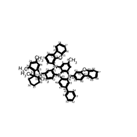 Cc1cc2c3c(c1)N(c1cccc4c1oc1ccccc14)c1cc(N4c5cc(C)cc(C)c5C5(C)CCCCC45C)ccc1B3c1ccc(-c3ccccc3)cc1N2c1ccc2c(c1)oc1ccccc12